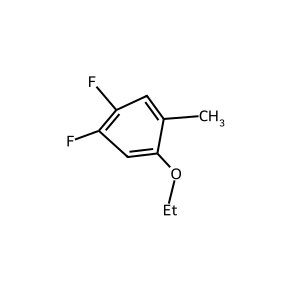 CCOc1cc(F)c(F)cc1C